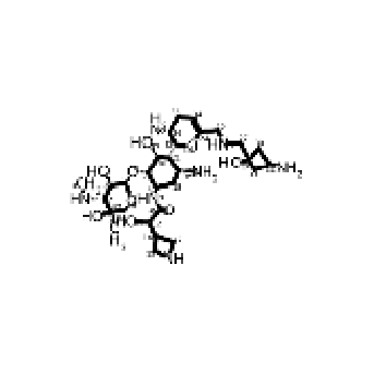 CN[C@@H]1[C@@H](O)[C@@H](O[C@H]2[C@H](NC(=O)C(O)C3CNC3)C[C@H](N)C([C@H]3OC(CNCC4(O)CC(N)C4)=CC[C@H]3N)[C@@H]2O)OC[C@]1(C)O